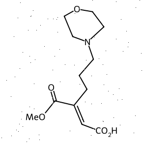 COC(=O)/C(=C/C(=O)O)CCCN1CCOCC1